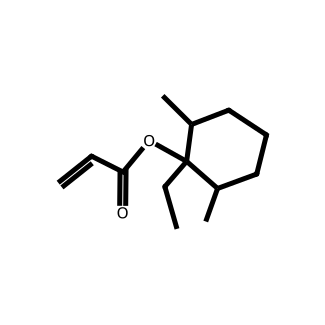 C=CC(=O)OC1(CC)C(C)CCCC1C